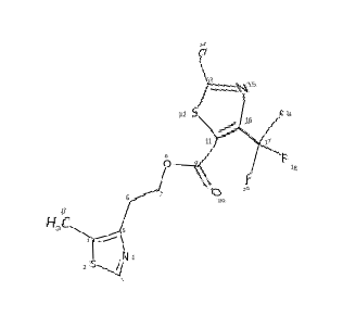 Cc1scnc1CCOC(=O)c1sc(Cl)nc1C(F)(F)F